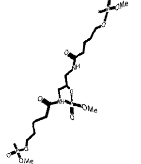 COP(C)(=O)OCCCCC(=O)NCC(CNC(=O)CCCCOP(C)(=O)OC)OP(C)(=O)OC